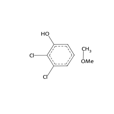 COC.Oc1cccc(Cl)c1Cl